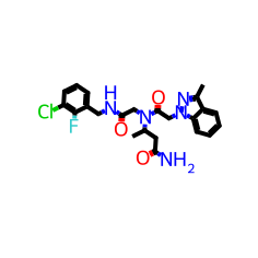 Cc1nn(CC(=O)N(CC(=O)NCc2cccc(Cl)c2F)C(C)CC(N)=O)c2ccccc12